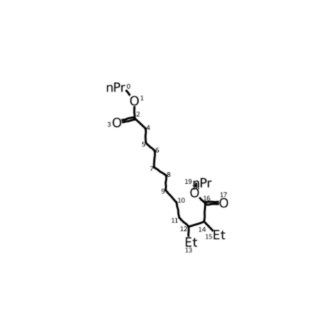 CCCOC(=O)CCCCCCCCC(CC)C(CC)C(=O)OCCC